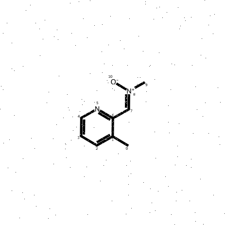 Cc1cccnc1C=[N+](C)[O-]